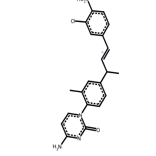 Cc1cc(C(C)/C=C/c2ccc(C(=O)O)c(Cl)c2)ccc1-n1ccc(N)nc1=O